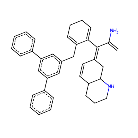 C=C(N)/C(C1=CCCC=C1Cc1cc(-c2ccccc2)cc(-c2ccccc2)c1)=C1/C=CC2CCCNC2C1